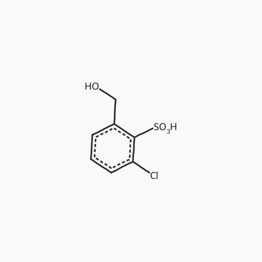 O=S(=O)(O)c1c(Cl)cccc1CO